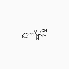 CC(C)[C@H](CO)NC(=O)OCc1ccncc1